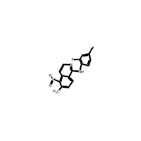 Cc1ccc2c(Nc3ccc(I)cc3F)nccc2c1[N+](=O)[O-]